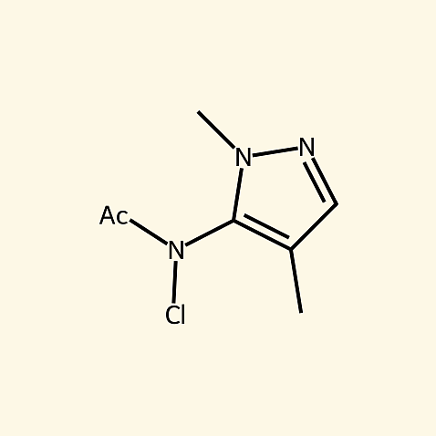 CC(=O)N(Cl)c1c(C)cnn1C